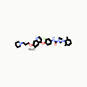 COc1cc2c(Oc3ccc(NC(=O)N4C=CN(c5c(C)cccc5C)C4)cc3F)ccnc2cc1OCCCN1CCCCC1